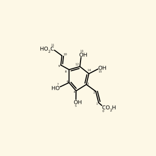 O=C(O)/C=C/c1c(O)c(O)c(/C=C/C(=O)O)c(O)c1O